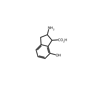 NC1Cc2cccc(O)c2C1C(=O)O